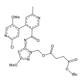 COc1nn(COC(=O)CCC(=O)OC(C)(C)C)c(=NC(=O)c2cnc(C)cc2-c2cc(Cl)ncc2OC)s1